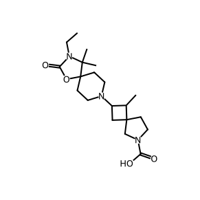 CCN1C(=O)OC2(CCN(C3CC4(CCN(C(=O)O)C4)C3C)CC2)C1(C)C